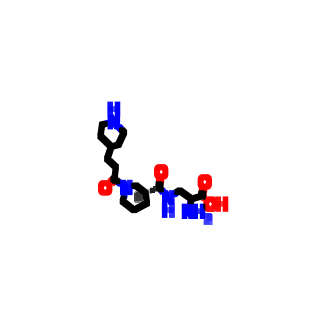 NC(CNC(=O)[C@@H]1CCCN(C(=O)CCC2CCNCC2)C1)C(=O)O